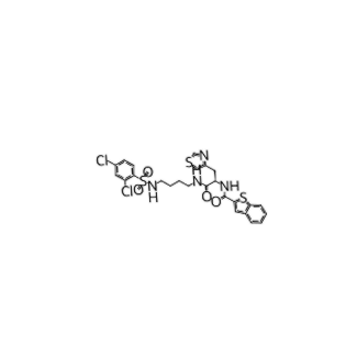 O=C(N[C@H](Cc1cscn1)C(=O)NCCCCNS(=O)(=O)c1ccc(Cl)cc1Cl)c1cc2ccccc2s1